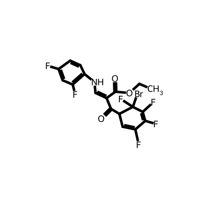 CCOC(=O)/C(=C\Nc1ccc(F)cc1F)C(=O)C1C=C(F)C(F)=C(F)C1(F)Br